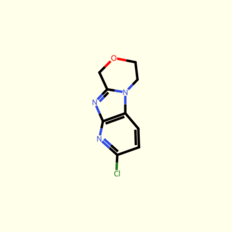 Clc1ccc2c(n1)nc1n2CCOC1